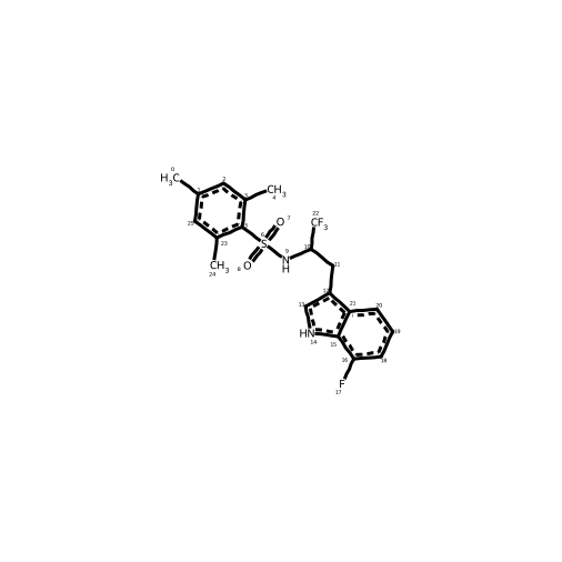 Cc1cc(C)c(S(=O)(=O)NC(Cc2c[nH]c3c(F)cccc23)C(F)(F)F)c(C)c1